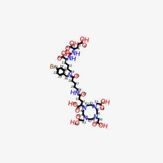 O=C(O)CCC(NC(=O)N[C@@H](CCCCN(Cc1ccc(Br)cc1)C(=O)CCCCNC(=O)CCC(C(=O)O)N1CCN(CC(=O)O)CCN(CC(=O)O)CCN(CC(=O)O)CC1)C(=O)O)C(=O)O